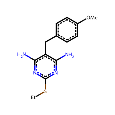 CCSc1nc(N)c(Cc2ccc(OC)cc2)c(N)n1